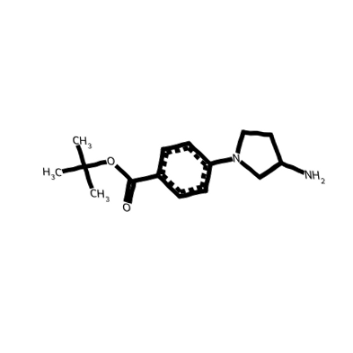 CC(C)(C)OC(=O)c1ccc(N2CCC(N)C2)cc1